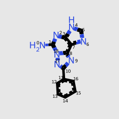 Nc1nc2[nH]cnc2c2nc(-c3ccccc3)nn12